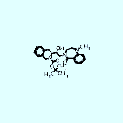 CN1CCN(C[C@@H](O)[C@@H]2Cc3ccccc3CN2C(=O)OC(C)(C)C)C(=O)c2ccccc21